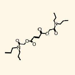 CCCN(CCC)C(=O)COC(=O)/C=C/C(=O)OCC(=O)N(CCC)CCC